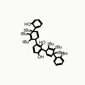 CC(C)(C)C1=C(C(C)(C)C)C(c2ccccc2O)(C(C)(C)C)C=CC1c1ccc(O)c(C2C=CC(c3ccccc3O)(C(C)(C)C)C(C(C)(C)C)=C2C(C)(C)C)c1O